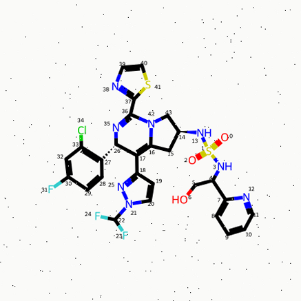 O=S(=O)(NC(CO)c1ccccn1)N[C@H]1CC2=C(c3ccn(C(F)F)n3)[C@H](c3ccc(F)cc3Cl)N=C(c3nccs3)N2C1